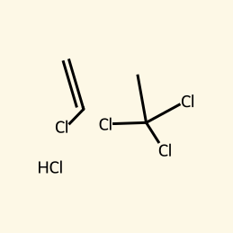 C=CCl.CC(Cl)(Cl)Cl.Cl